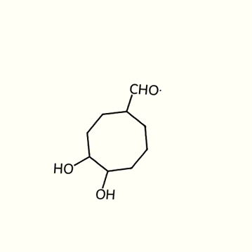 O=[C]C1CCCC(O)C(O)CC1